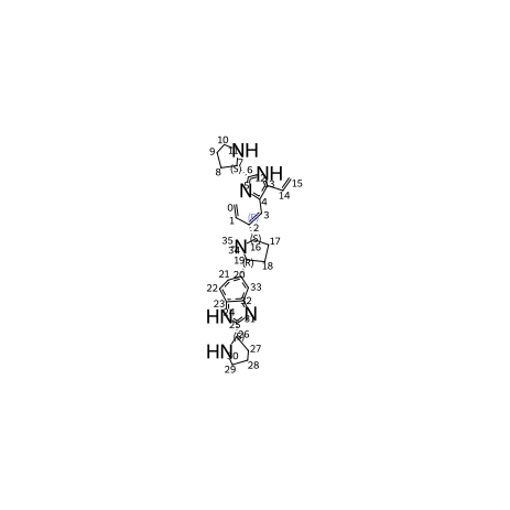 C=C/C(=C\c1nc([C@@H]2CCCN2)[nH]c1C=C)[C@@H]1CC[C@H](c2ccc3[nH]c([C@@H]4CCCN4)nc3c2)N1C